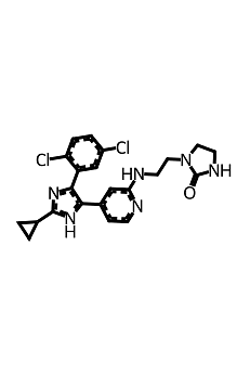 O=C1NCCN1CCNc1cc(-c2[nH]c(C3CC3)nc2-c2cc(Cl)ccc2Cl)ccn1